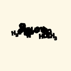 COCC(Nc1ncnc2cc(-c3ccc(CN4CCN(C(=O)[C@H](C)O)CC4)cc3)sc12)c1ccccc1